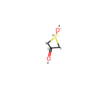 O=C1C[S+]([O-])C1